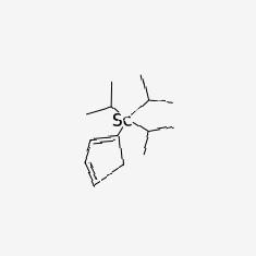 C[CH](C)[Sc]([C]1=CC=CC1)([CH](C)C)[CH](C)C